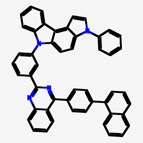 c1ccc(-n2ccc3c4c5ccccc5n(-c5cccc(-c6nc(-c7ccc(-c8cccc9ccccc89)cc7)c7ccccc7n6)c5)c4ccc32)cc1